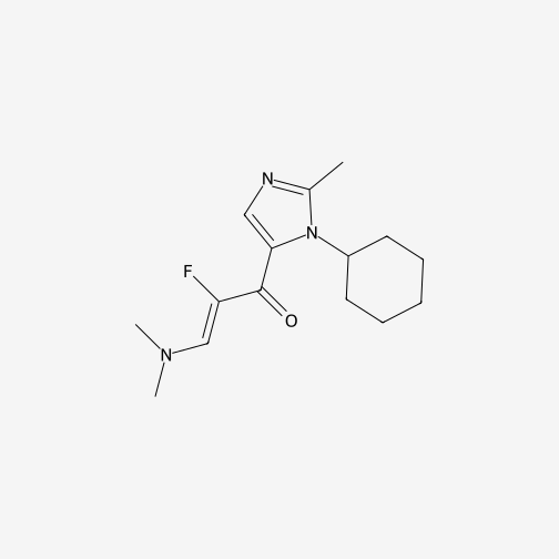 Cc1ncc(C(=O)C(F)=CN(C)C)n1C1CCCCC1